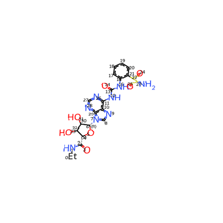 CCNC(=O)[C@H]1O[C@@H](n2cnc3c(NC(=O)Nc4ccccc4S(N)(=O)=O)ncnc32)C(O)C1O